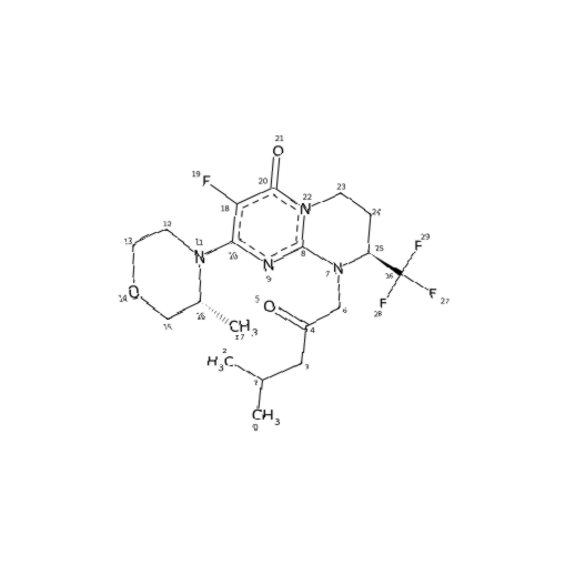 CC(C)CC(=O)CN1c2nc(N3CCOC[C@H]3C)c(F)c(=O)n2CC[C@H]1C(F)(F)F